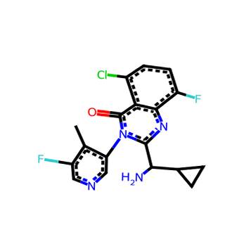 Cc1c(F)cncc1-n1c(C(N)C2CC2)nc2c(F)ccc(Cl)c2c1=O